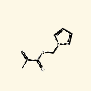 C=C(C)C(=O)OCn1cccc1